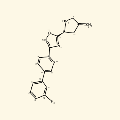 C=C1CN[C@H](c2nc(-c3ccc(-c4cccc(F)c4)cn3)no2)C1